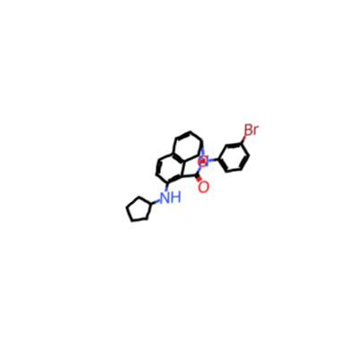 O=C1c2c3ccc(NC4CCCC4)c2C(=O)N(c2cccc(Br)c2)C1C=C3